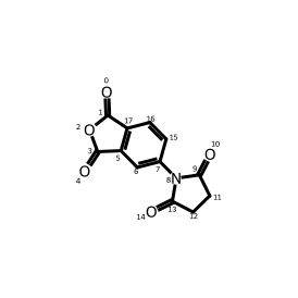 O=C1OC(=O)c2cc(N3C(=O)CCC3=O)ccc21